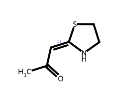 CC(=O)/C=C1\NCCS1